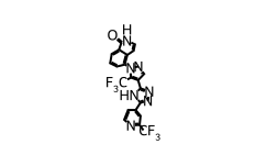 O=c1[nH]ccc2c(-n3ncc(-c4nnc(-c5ccnc(C(F)(F)F)c5)[nH]4)c3C(F)(F)F)cccc12